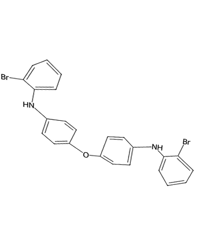 Brc1ccccc1Nc1ccc(Oc2ccc(Nc3ccccc3Br)cc2)cc1